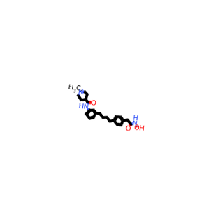 CN1CCC(C(=O)Nc2cccc(CCCCc3ccc(CC(=O)NO)cc3)c2)CC1